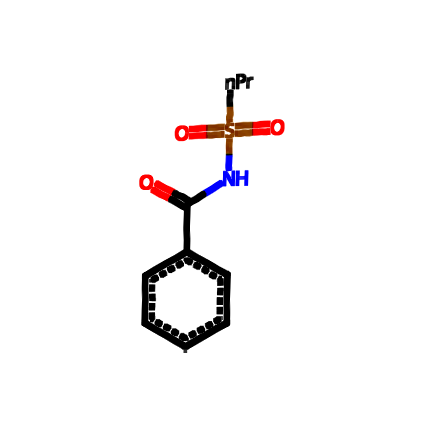 CCCS(=O)(=O)NC(=O)c1cc[c]cc1